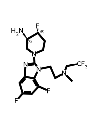 CN(CCn1c(N2CC[C@@H](F)[C@H](N)C2)nc2cc(F)cc(F)c21)CC(F)(F)F